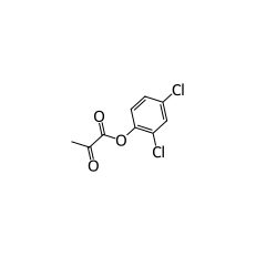 CC(=O)C(=O)Oc1ccc(Cl)cc1Cl